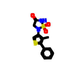 Cc1c(N2CC(=O)NS2(=O)=O)csc1-c1ccccc1